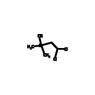 C[Si](C)(C#N)CC(Cl)Cl